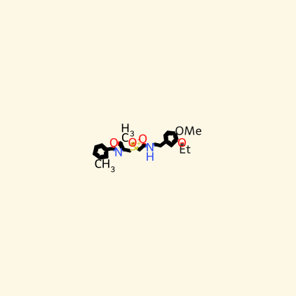 CCOc1cc(CCNC(=O)C[S+]([O-])Cc2nc(-c3cccc(C)c3)oc2C)ccc1OC